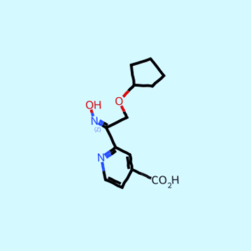 O=C(O)c1ccnc(/C(COC2CCCC2)=N/O)c1